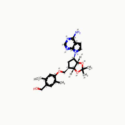 Cc1cc(CO)c(C(=O)O)cc1OC[C@H]1C[C@@H](n2ccc3c(N)ncnc32)[C@@H]2OC(C)(C)O[C@H]12